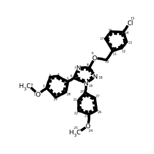 COc1ccc(-c2nc(OCc3ccc(Cl)cc3)nn2-c2ccc(OC)cc2)cc1